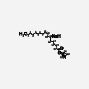 CCCCCCCC/C=C\CCCCCCCC(=O)ON1C=NCC1.[NaH]